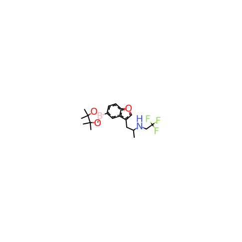 CC(Cc1coc2ccc(B3OC(C)(C)C(C)(C)O3)cc12)NCC(F)(F)F